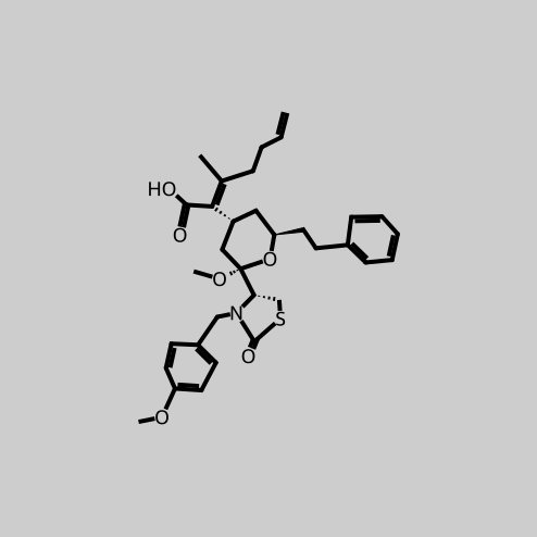 C=CCCC(C)=C(C(=O)O)[C@@H]1C[C@@H](CCc2ccccc2)O[C@@](OC)([C@@H]2CSC(=O)N2Cc2ccc(OC)cc2)C1